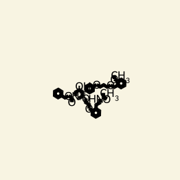 COc1ccccc1COCCCOc1ccc([C@H]2[C@H](O)CN(C(=O)OCc3ccccc3)C[C@@H]2OCCOc2ccccc2CCNC(C)=O)cc1